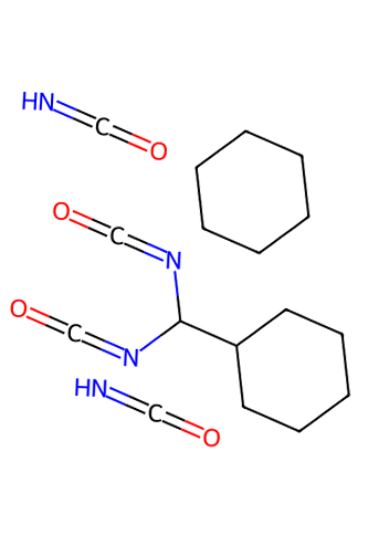 C1CCCCC1.N=C=O.N=C=O.O=C=NC(N=C=O)C1CCCCC1